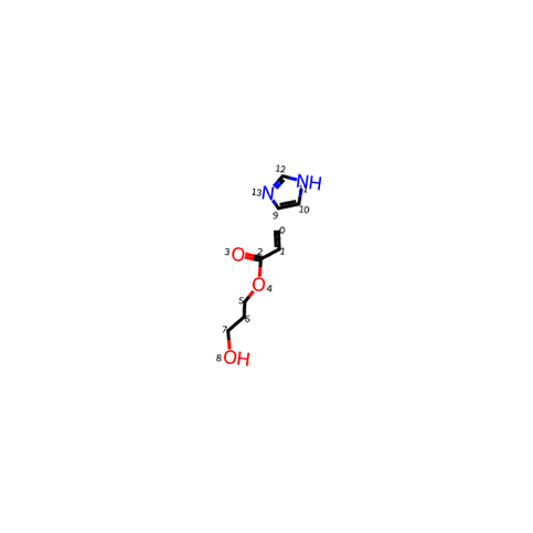 C=CC(=O)OCCCO.c1c[nH]cn1